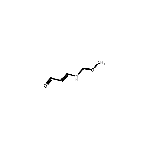 COCNC=CC=O